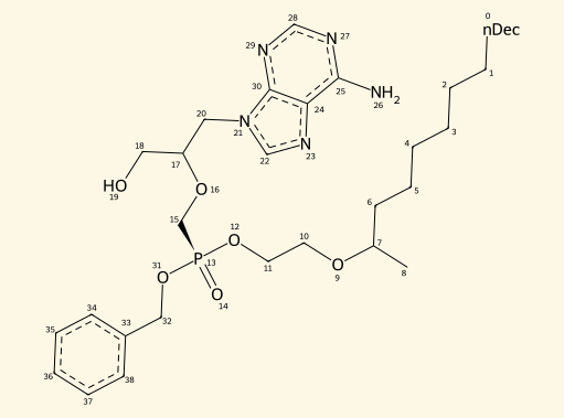 CCCCCCCCCCCCCCCCC(C)OCCO[P@@](=O)(COC(CO)Cn1cnc2c(N)ncnc21)OCc1ccccc1